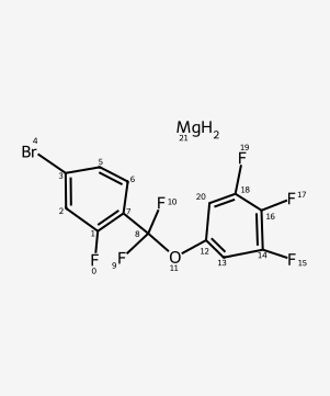 Fc1cc(Br)ccc1C(F)(F)Oc1cc(F)c(F)c(F)c1.[MgH2]